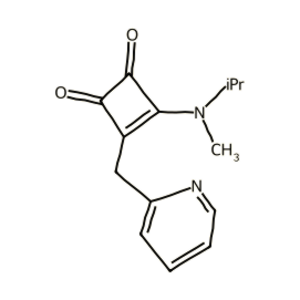 CC(C)N(C)c1c(Cc2ccccn2)c(=O)c1=O